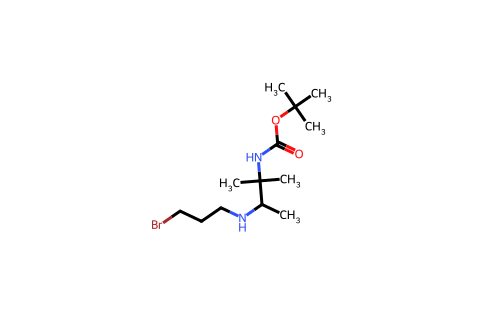 CC(NCCCBr)C(C)(C)NC(=O)OC(C)(C)C